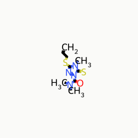 C=CCSc1nn(C(=O)N(C)C)c(=S)n1C